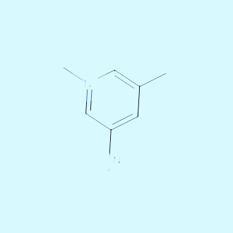 Cc1cc(C#N)c[n+](C)c1